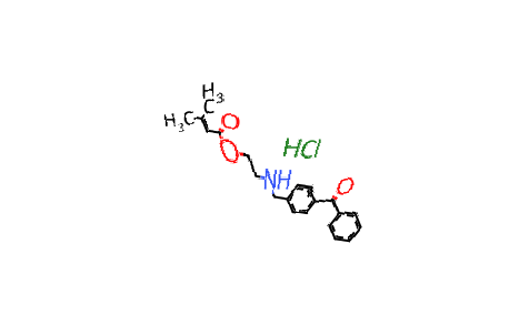 CC(C)=CC(=O)OCCNCc1ccc(C(=O)c2ccccc2)cc1.Cl